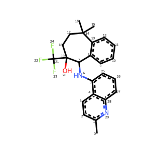 Cc1ccc2c(NC3c4ccccc4C(C)(C)CCC3(O)C(F)(F)F)cccc2n1